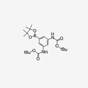 CC(C)(C)OC(=O)Nc1cc(NC(=O)OC(C)(C)C)cc(B2OC(C)(C)C(C)(C)O2)c1